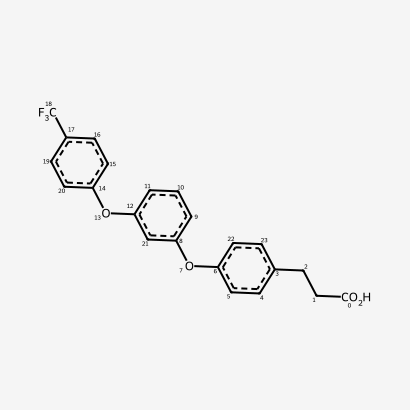 O=C(O)CCc1ccc(Oc2cccc(Oc3ccc(C(F)(F)F)cc3)c2)cc1